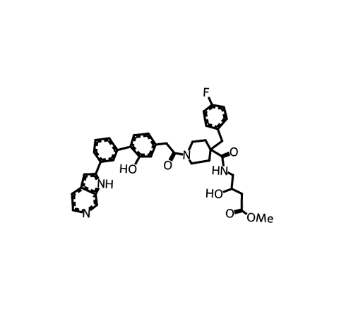 COC(=O)CC(O)CNC(=O)C1(Cc2ccc(F)cc2)CCN(C(=O)Cc2ccc(-c3cccc(-c4cc5ccncc5[nH]4)c3)c(O)c2)CC1